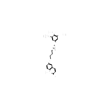 CC(C)(C)c1cc(SON=CCCCOc2ccc3[nH]c(=O)ccc3c2)cc(C(C)(C)C)c1O